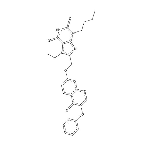 CCCCn1c(=O)[nH]c(=O)c2c1nc(COc1ccc3c(=O)c(Oc4ccccc4)coc3c1)n2CC